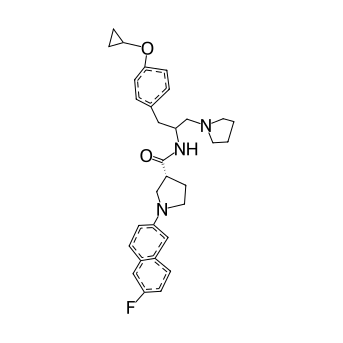 O=C(NC(Cc1ccc(OC2CC2)cc1)CN1CCCC1)[C@@H]1CCN(c2ccc3cc(F)ccc3c2)C1